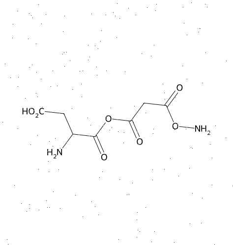 NOC(=O)CC(=O)OC(=O)C(N)CC(=O)O